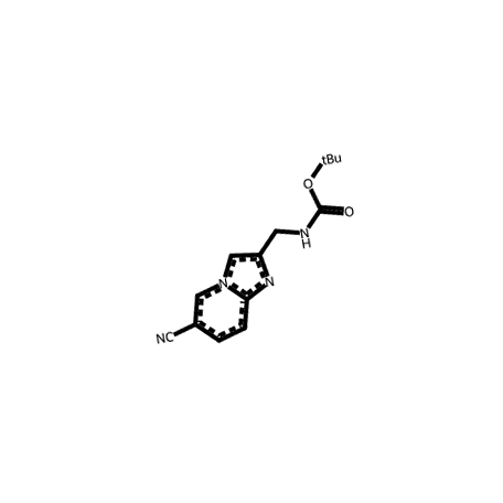 CC(C)(C)OC(=O)NCc1cn2cc(C#N)ccc2n1